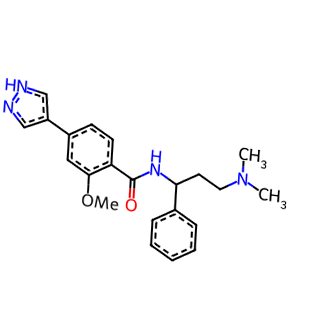 COc1cc(-c2cn[nH]c2)ccc1C(=O)NC(CCN(C)C)c1ccccc1